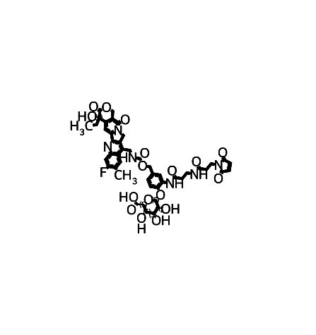 CC[C@@]1(O)C(=O)OCc2c1cc1n(c2=O)Cc2c-1nc1cc(F)c(C)cc1c2CNC(=O)OCc1ccc(O[C@@H]2O[C@H](C(=O)O)[C@@H](O)[C@H](O)[C@H]2O)c(NC(=O)CCNC(=O)CCN2C(=O)C=CC2=O)c1